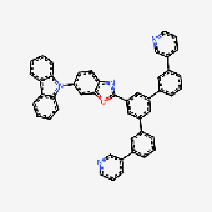 c1cncc(-c2cccc(-c3cc(-c4cccc(-c5cccnc5)c4)cc(-c4nc5ccc(-n6c7ccccc7c7ccccc76)cc5o4)c3)c2)c1